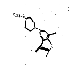 Cc1oc2c(C)cc(C3CCN(C=O)CC3)cc2c1C